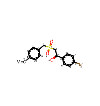 COc1ccc(CS(=O)(=O)CC(=O)c2ccc(Br)cc2)cc1